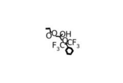 C=CC(=O)OCC(O)COC(c1ccccc1)(C(F)(F)F)C(F)(F)F